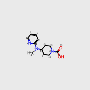 CN(c1ccccn1)C1CCN(C(=O)O)CC1